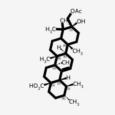 CC(=O)OC[C@]1(O)CC[C@@]2(C)C(CC[C@]3(C)[C@@H]2CC=C2[C@@H]4[C@@H](C)[C@H](C)CC[C@]4(C(=O)O)CC[C@]23C)C1(C)C